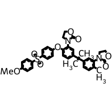 COc1ccc(S(=O)(=O)c2ccc(Oc3ccc(C(C)(C)c4ccc(C)c(N5CCOC5=O)c4)cc3N3CCOC3=O)cc2)cc1